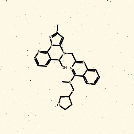 Cc1cc2n(n1)-c1ncccc1C(O)N2Cc1nc(N(C)CC2CCOC2)c2ccccc2n1